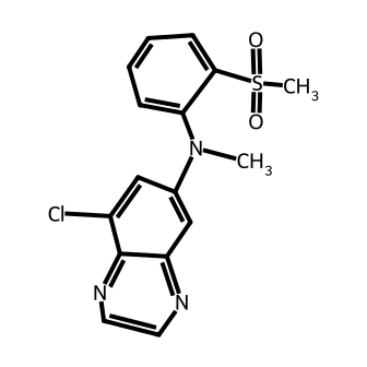 CN(c1cc(Cl)c2nccnc2c1)c1ccccc1S(C)(=O)=O